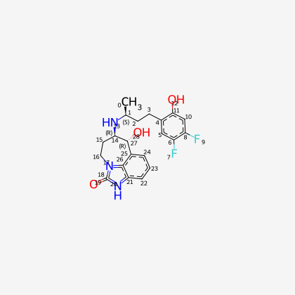 C[C@@H](CCc1cc(F)c(F)cc1O)N[C@@H]1CCn2c(=O)[nH]c3cccc(c32)[C@H]1O